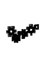 Clc1ccc(-c2csc(Sc3nnnn3-c3ccccc3)n2)cc1